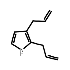 C=CCc1cc[nH]c1CC=C